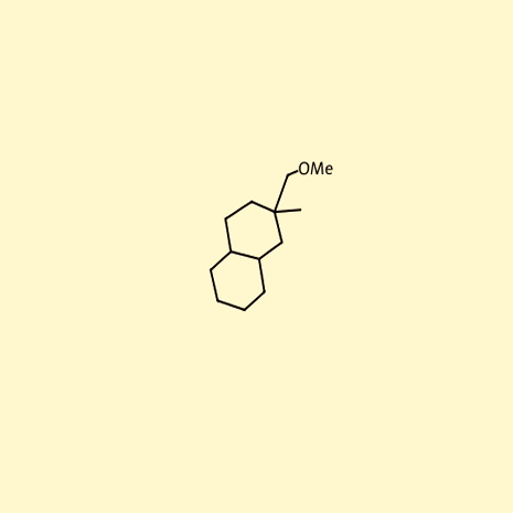 COCC1(C)CCC2CCCCC2C1